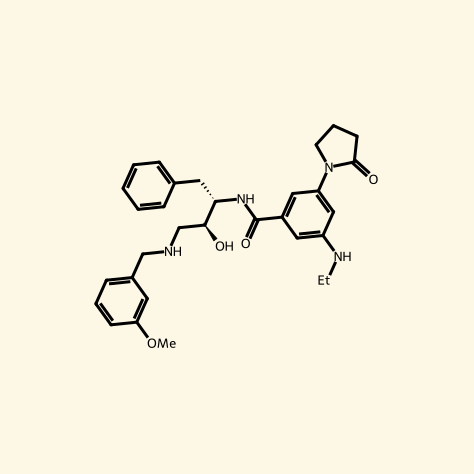 CCNc1cc(C(=O)N[C@@H](Cc2ccccc2)[C@@H](O)CNCc2cccc(OC)c2)cc(N2CCCC2=O)c1